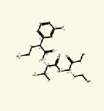 CCC(=O)[C@H](CCN)NC(=O)[C@@H](NC(=O)C(CCN)c1cccc(Cl)c1)C(C)O